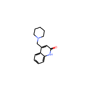 O=c1cc(CN2CCCCC2)c2ccccc2[nH]1